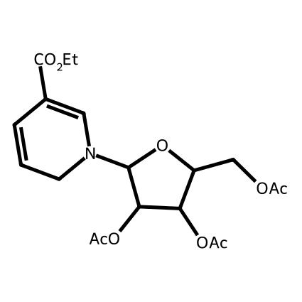 CCOC(=O)C1=CN(C2OC(COC(C)=O)C(OC(C)=O)C2OC(C)=O)CC=C1